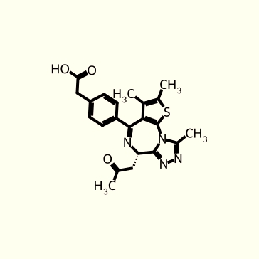 CC(=O)C[C@@H]1N=C(c2ccc(CC(=O)O)cc2)c2c(sc(C)c2C)-n2c(C)nnc21